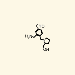 NCc1cc([C]=O)ccc1CN1CCCC1CO